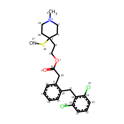 CN1CCC(CCOC(=O)Cc2ccccc2Cc2c(Cl)cccc2Cl)(SN=O)CC1